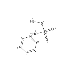 O=S(=O)(O)SS.c1cncnc1